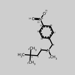 CN(CCC(C)(C)C)Cc1ccc([N+](=O)[O-])cc1